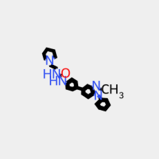 Cc1nc2cc(-c3ccc(NC(=O)NCCN4CCCCC4)cc3)ccc2n1-c1ccccc1